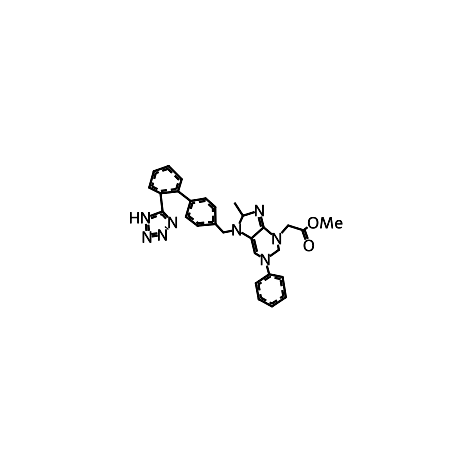 COC(=O)CN1CN(c2ccccc2)C=C2C1=NC(C)N2Cc1ccc(-c2ccccc2-c2nnn[nH]2)cc1